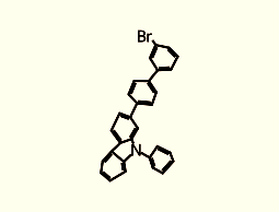 Brc1cccc(-c2ccc(-c3ccc4c5ccccc5n(-c5ccccc5)c4c3)cc2)c1